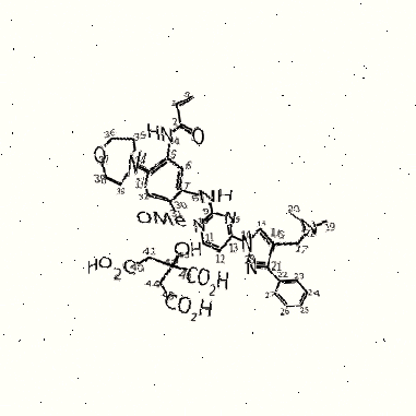 C=CC(=O)Nc1cc(Nc2nccc(-n3cc(CN(C)C)c(-c4ccccc4)n3)n2)c(OC)cc1N1CCOCC1.O=C(O)CC(O)(CC(=O)O)C(=O)O